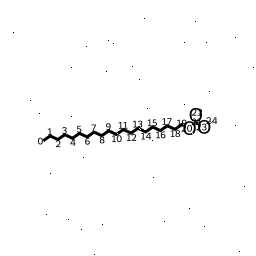 CCCCCCCCCCCCCCCCCCCCOC(=O)OC